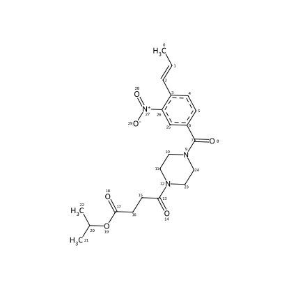 C/C=C/c1ccc(C(=O)N2CCN(C(=O)CCC(=O)OC(C)C)CC2)cc1[N+](=O)[O-]